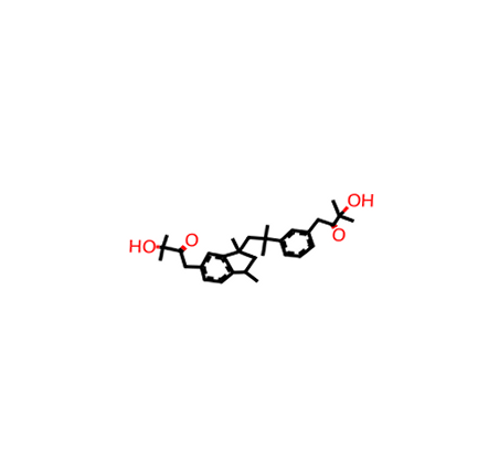 CC1CC(C)(CC(C)(C)c2cccc(CC(=O)C(C)(C)O)c2)c2cc(CC(=O)C(C)(C)O)ccc21